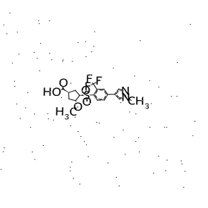 CO[C@@H]1C[C@@H](C(=O)O)C[C@H]1S(=O)(=O)c1ccc(-c2cnn(C)c2)cc1C(F)(F)F